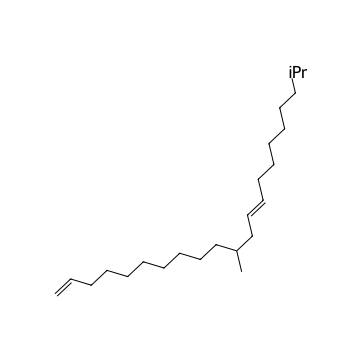 C=CCCCCCCCCC(C)CC=CCCCCCCC(C)C